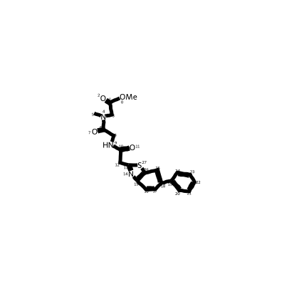 COC(=O)CN(C)C(=O)CNC(=O)Cc1nc2ccc(-c3ccccc3)cc2s1